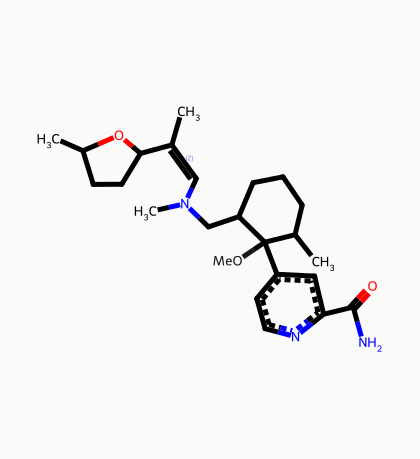 COC1(c2ccnc(C(N)=O)c2)C(C)CCCC1CN(C)/C=C(/C)C1CCC(C)O1